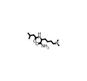 CC(C)CC(=O)NC(CCCCN(C)C)C(N)=O